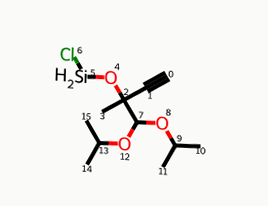 C#CC(C)(O[SiH2]Cl)C(OC(C)C)OC(C)C